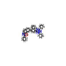 c1ccc(-c2nc(-c3ccccc3)nc(-c3ccc(-c4ccc5ccc6nc(-c7ccccc7)oc6c5c4)c4ccccc34)n2)cc1